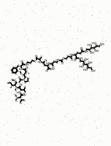 CC[C@H](C)[C@@H]([C@@H](CC(=O)N1CCC[C@H]1[C@H](OC)[C@@H](C)C(=O)N[C@@H](Cc1ccccc1)C(=O)NCCCOC(=O)C(C)NC(=O)CC(NC(=O)CCNC(=O)OCCC(=O)NC(CCC(=O)NC[C@H](O)[C@@H](O)[C@@H](O)[C@H](O)CO)C(=O)NC[C@H](O)[C@@H](O)[C@@H](O)[C@H](O)CO)C(=O)O)OC)N(C)C(=O)[C@@H](NC(=O)[C@H](C(C)C)N(C)C)C(C)C